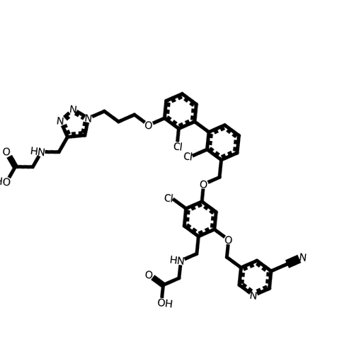 N#Cc1cncc(COc2cc(OCc3cccc(-c4cccc(OCCCn5cc(CNCC(=O)O)nn5)c4Cl)c3Cl)c(Cl)cc2CNCC(=O)O)c1